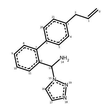 C=CCc1ccc(-c2ccccc2C(N)n2ccnn2)cc1